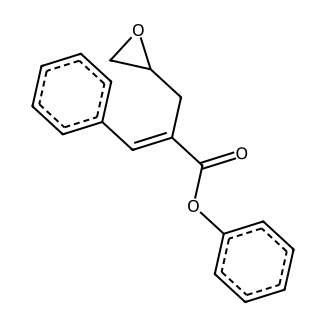 O=C(Oc1ccccc1)C(=Cc1ccccc1)CC1CO1